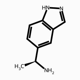 C[C@H](N)c1ccc2[nH]ncc2c1